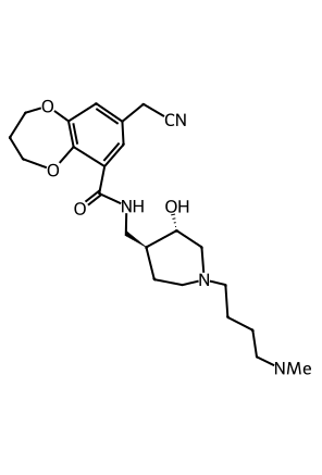 CNCCCCN1CC[C@@H](CNC(=O)c2cc(CC#N)cc3c2OCCCO3)[C@H](O)C1